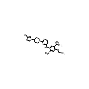 CCOc1cc(C)c(Nc2ccnc(N3CCC(n4cnc(Br)c4)CC3)n2)cc1C(C)C